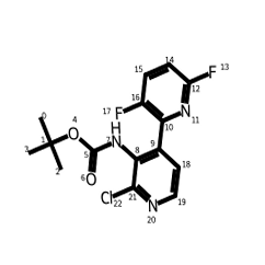 CC(C)(C)OC(=O)Nc1c(-c2nc(F)ccc2F)ccnc1Cl